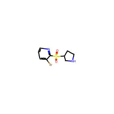 O=S(=O)(c1ncccc1Br)C1CCNC1